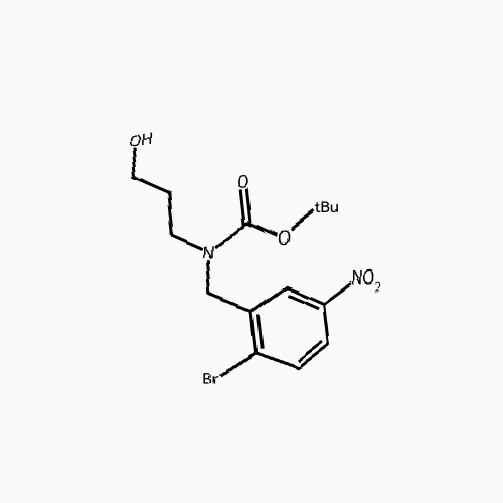 CC(C)(C)OC(=O)N(CCCO)Cc1cc([N+](=O)[O-])ccc1Br